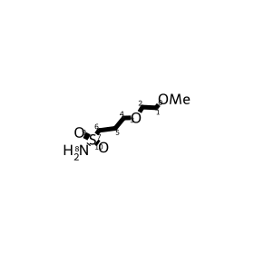 COCCOCCCS(N)(=O)=O